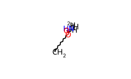 [2H]C([2H])([2H])NCC(=O)OCCCCCCCCC=C